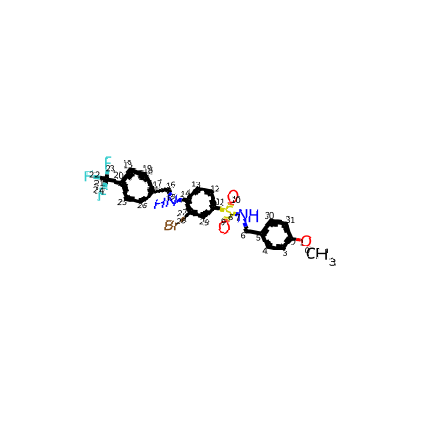 COc1ccc(CNS(=O)(=O)c2ccc(NCc3ccc(C(F)(F)F)cc3)c(Br)c2)cc1